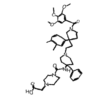 COc1cc(C(=O)N2CCC(CCN3CCC(NC(=O)N4CCN(CC(=O)O)CC4)(c4ccccc4)CC3)(c3ccc(C)c(C)c3)C2)cc(OC)c1OC